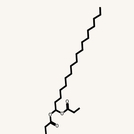 CCCCCCCCCCCCCCCCC[C](OC(=O)CC)OC(=O)CC